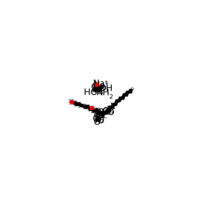 CCCCCCCCCCCCCC(=O)OCC(COP(=O)([O-])[O-])OC(=O)CCCCCCCCCCCCC.NC(CO)C(=O)O.[Na+].[Na+]